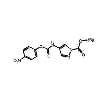 CC(C)(C)OC(=O)n1cc(NC(=O)Oc2ccc([N+](=O)[O-])cc2)cn1